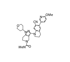 CNC(=O)N1CCc2c(c(N3CCCc4cc(-c5ccc(OC)nc5)c(C#N)cc43)nn2C2CCOCC2)C1